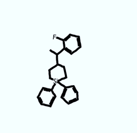 CC(c1ccccc1F)C1CC[Si](c2ccccc2)(c2ccccc2)CC1